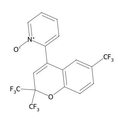 [O-][n+]1ccccc1C1=CC(C(F)(F)F)(C(F)(F)F)Oc2ccc(C(F)(F)F)cc21